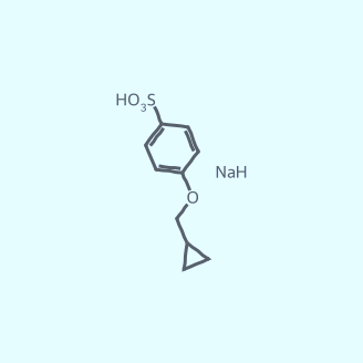 O=S(=O)(O)c1ccc(OCC2CC2)cc1.[NaH]